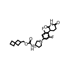 O=C1CCC(c2c(F)cc(N3CC[C@H](NC(=O)OCC4CC5(CCC5)C4)C3)cc2F)C(=O)N1